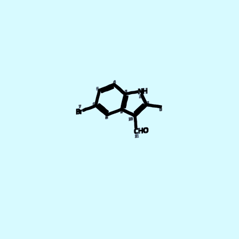 Cc1[nH]c2ccc(Br)cc2c1C=O